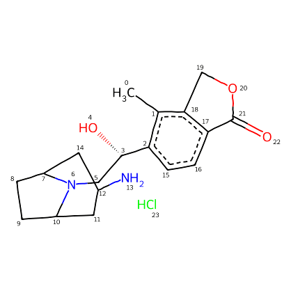 Cc1c([C@@H](O)CN2C3CCC2CC(N)C3)ccc2c1COC2=O.Cl